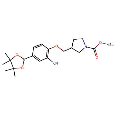 CC(C)(C)OC(=O)N1CCC(COc2ccc(B3OC(C)(C)C(C)(C)O3)cc2C#N)C1